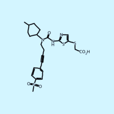 CC1CCC(N(CCC#Cc2ccc(S(C)(=O)=O)cc2)C(=O)Nc2ncc(SCC(=O)O)s2)CC1